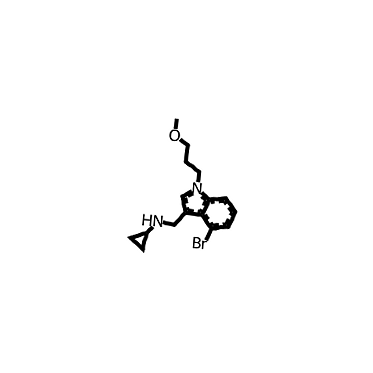 COCCCn1cc(CNC2CC2)c2c(Br)cccc21